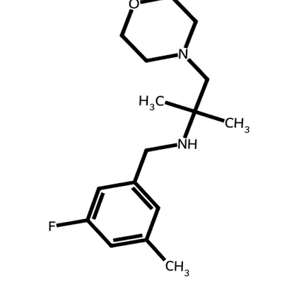 Cc1cc(F)cc(CNC(C)(C)CN2CCOCC2)c1